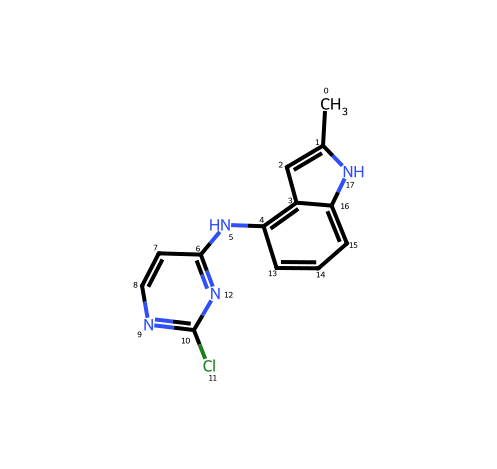 Cc1cc2c(Nc3ccnc(Cl)n3)cccc2[nH]1